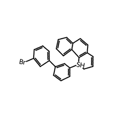 Brc1cccc(-c2cccc([SH]3CC=Cc4ccc5ccccc5c43)c2)c1